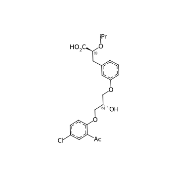 CC(=O)c1cc(Cl)ccc1OC[C@@H](O)COc1cccc(C[C@H](OC(C)C)C(=O)O)c1